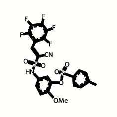 COc1ccc(NS(=O)(=O)C(C#N)=Cc2c(F)c(F)c(F)c(F)c2F)cc1OS(=O)(=O)c1ccc(C)cc1